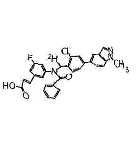 [2H]C(c1ccc(-c2ccc3c(cnn3C)c2)cc1Cl)N(C(=O)c1ccccc1)c1cc(F)cc(/C=C/C(=O)O)c1